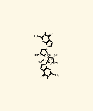 C[C@H]1O[C@@](C(O)[C@H]2O[C@@H](n3cnc4c(=O)[nH]c(N)nc43)C[C@@H]2O)(n2cnc3c(=O)[nH]c(N)nc32)[C@H](O)[C@@H]1O